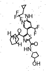 O=C(N[C@@H]1CC[C@@H](O)C1)c1nc(C(=O)N2[C@H]3CC[C@@H]2CC3)c(-c2cnc(N[C@@H](C3CC3)C(F)(F)F)cc2C(F)F)s1